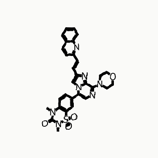 CN1C(=O)N(C)S(=O)(=O)c2cc(-c3cnc(N4CCOCC4)c4nc(C=Cc5ccc6ccccc6n5)cn34)ccc21